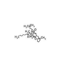 C=C(NCCCCCC)C(C)(C)CC(CC(CC1C2CCC(C2)C1C)C(N)=O)C(=O)OCCN(C)C